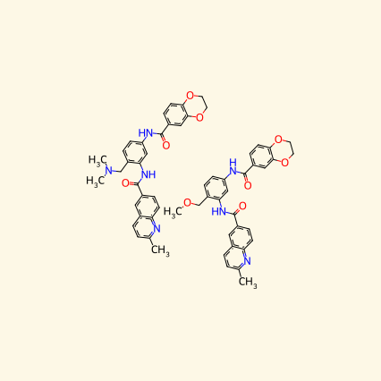 COCc1ccc(NC(=O)c2ccc3c(c2)OCCO3)cc1NC(=O)c1ccc2nc(C)ccc2c1.Cc1ccc2cc(C(=O)Nc3cc(NC(=O)c4ccc5c(c4)OCCO5)ccc3CN(C)C)ccc2n1